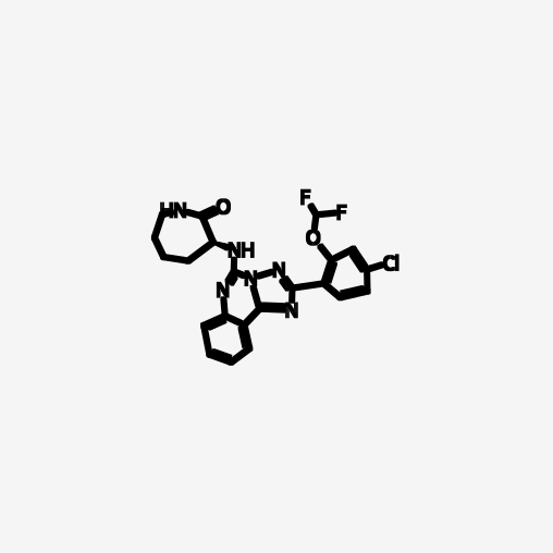 O=C1NCCCC[C@@H]1Nc1nc2ccccc2c2nc(-c3ccc(Cl)cc3OC(F)F)nn12